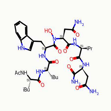 CCC(C)[C@H](NC(C)=O)C(=O)N[C@H](C(=O)N[C@@H](Cc1c[nH]c2ccccc12)C(=O)N(O)[C@@H](CC(N)=O)C(=O)N[C@H](C(=O)N[C@@H](CC(N)=O)C(N)=O)C(C)C)C(C)CC